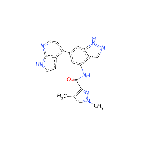 Cc1cn(C)nc1C(=O)Nc1cc(-c2ccnc3[nH]ccc23)cc2[nH]ncc12